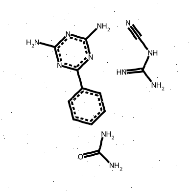 N#CNC(=N)N.NC(N)=O.Nc1nc(N)nc(-c2ccccc2)n1